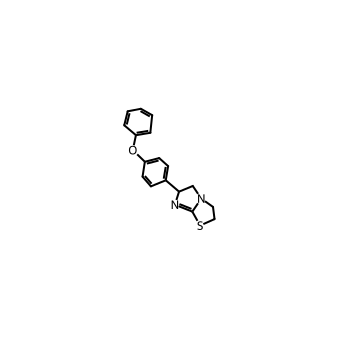 c1ccc(Oc2ccc(C3CN4CCSC4=N3)cc2)cc1